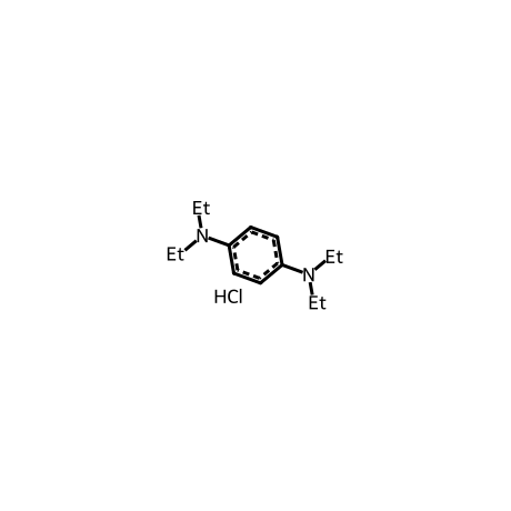 CCN(CC)c1ccc(N(CC)CC)cc1.Cl